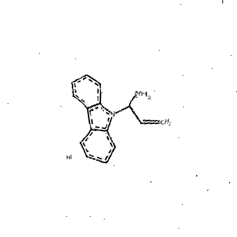 C=CC(N)n1c2ccccc2c2ccccc21.I